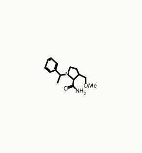 COCC1CCN(C(C)c2ccccc2)C1C(N)=O